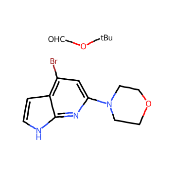 Brc1cc(N2CCOCC2)nc2[nH]ccc12.CC(C)(C)OC=O